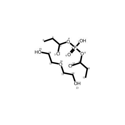 CCC(Cl)OP(=O)(O)OC(Cl)CC.OCCOCCO